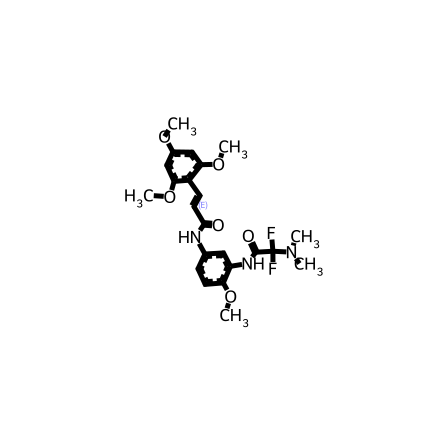 COc1cc(OC)c(/C=C/C(=O)Nc2ccc(OC)c(NC(=O)C(F)(F)N(C)C)c2)c(OC)c1